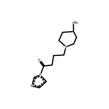 CCCCC1CCN(CCCC(=O)n2ccnc2)CC1